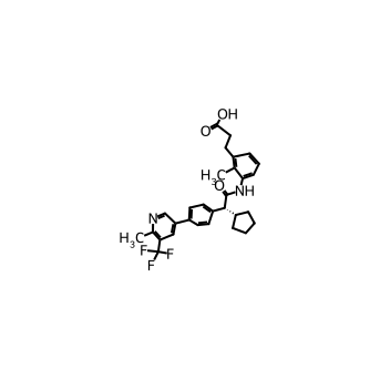 Cc1ncc(-c2ccc([C@H](C(=O)Nc3cccc(CCC(=O)O)c3C)C3CCCC3)cc2)cc1C(F)(F)F